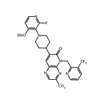 COc1ccnc(F)c1N1CCC(c2cc3ncc(C)nc3n(Cc3ncccc3C(F)(F)F)c2=O)CC1